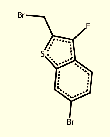 Fc1c(CBr)sc2cc(Br)ccc12